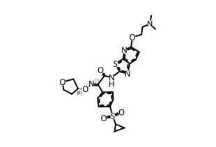 CN(C)CCOc1ccc2nc(NC(=O)/C(=N/O[C@@H]3CCOC3)c3ccc(S(=O)(=O)C4CC4)cc3)sc2n1